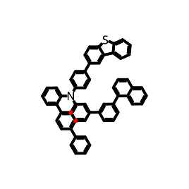 c1ccc(-c2ccc(-c3ccccc3N(c3ccc(-c4ccc5sc6ccccc6c5c4)cc3)c3cccc(-c4cccc(-c5cccc6ccccc56)c4)c3)cc2)cc1